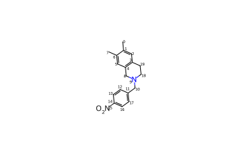 Cc1cc2c(cc1C)CN(Cc1ccc([N+](=O)[O-])cc1)CC2